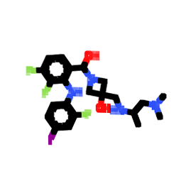 CC(CN(C)C)NCC1(O)CN(C(O)c2ccc(F)c(F)c2Nc2ccc(I)cc2F)C1